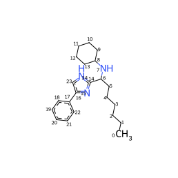 CCCCCCC(NC1CCCCC1)c1nc(-c2ccccc2)c[nH]1